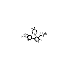 CCCCNc1ccc(-c2cnc(C)c([C@H](OC(C)(C)C)C(=O)O)c2N2CCC(C)(C)CC2)cn1